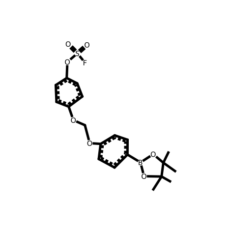 CC1(C)OB(c2ccc(OCOc3ccc(OS(=O)(=O)F)cc3)cc2)OC1(C)C